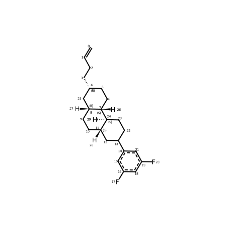 C=CCC[C@@H]1CC[C@H]2[C@H](CC[C@H]3CC(c4cc(F)cc(F)c4)CC[C@@H]32)C1